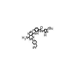 Cc1ccc(C(=O)Nc2cc(C(C)(C)C)n[nH]2)cc1Nc1ncnc2c(N)nc(N3CCN(CC(C)C)CC3)nc12